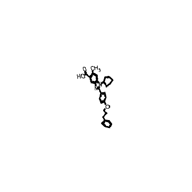 Cc1cc2c(cc1C(=O)O)nc(-c1ccc(OCCCc3ccccc3)cc1)n2C1CCCCC1